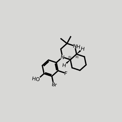 CC1(C)CN(c2ccc(O)c(Br)c2F)[C@H]2CCCC[C@H]2N1